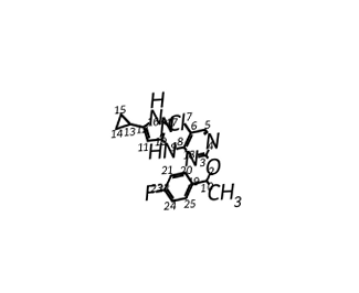 CC(Oc1ncc(Cl)c(Nc2cc(C3CC3)[nH]n2)n1)c1ccc(F)cc1